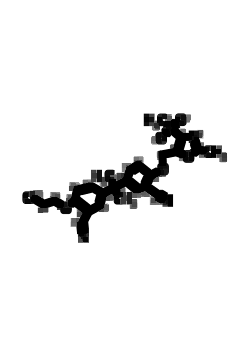 Cc1nc(S(C)(=O)=O)c(COc2ccc(C(C)(C)c3ccc(OCCCl)c(C#N)c3)cc2C#N)o1